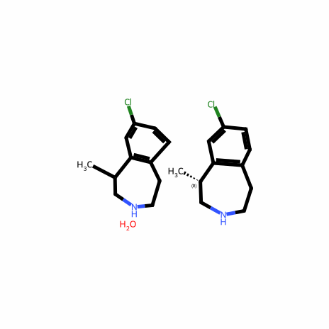 CC1CNCCc2ccc(Cl)cc21.C[C@H]1CNCCc2ccc(Cl)cc21.O